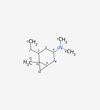 CCC1CC(N(C)C)CC2CC12C